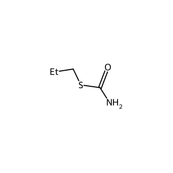 CCCSC(N)=O